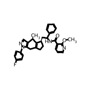 COc1ncccc1C(=O)NC(C[C@H]1CCC2=C1[C@@H](C)c1cnn(-c3ccc(F)cc3)c1C2)c1ccccc1